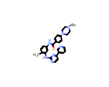 Cc1ccc(NC(=O)c2ccc(N3CCN(C(C)(C)C)CC3)cc2)cc1Nc1nccc(-c2cccnc2)n1